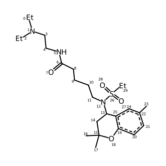 CCN(CC)CCNC(=O)CCCCN(C1CC(C)(C)Oc2ccc(C)cc21)S(=O)(=O)CC